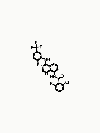 O=C(Nc1cccc2c(Nc3cc(C(F)(F)F)ccc3F)ncnc12)c1c(F)cccc1Cl